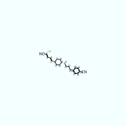 N#CC(F)=CC=C[C@H]1CC[C@H](CCCCc2ccc(C#N)cc2)CC1